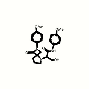 COc1ccc(NC(=O)C(CO)N2CCCC23CN(c2ccc(OC)cc2)C3=O)cc1